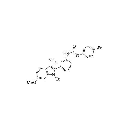 CCn1c(-c2cccc(NC(=O)Oc3ccc(Br)cc3)c2)c(N)c2ccc(OC)cc21